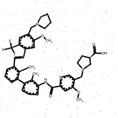 COc1cc(/C=C/c2cccc(-c3cccc(NC(=O)c4cc(OC)c(CN5CC[C@@H](C(=O)O)C5)cn4)c3C)c2C)c(C(F)(F)F)cc1CN1CCCC1